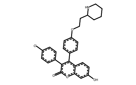 O=c1oc2cc(O)ccc2c(-c2ccc(OCCC3CCCCN3)cc2)c1-c1ccc(Cl)cc1